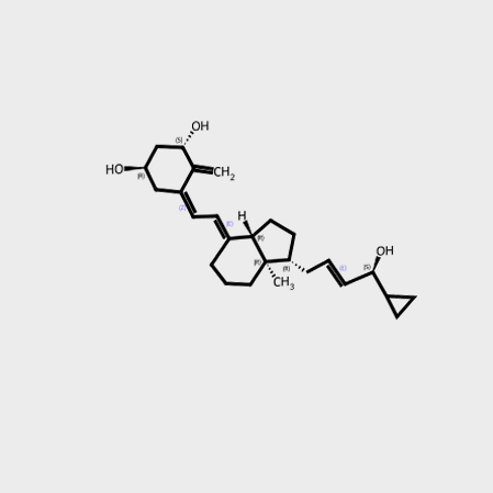 C=C1/C(=C\C=C2/CCC[C@]3(C)[C@@H](C/C=C/[C@@H](O)C4CC4)CC[C@@H]23)C[C@@H](O)C[C@@H]1O